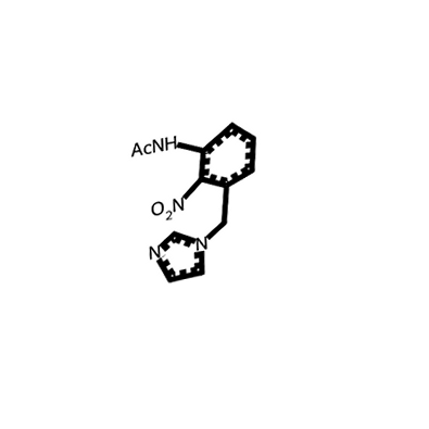 CC(=O)Nc1cccc(Cn2ccnc2)c1[N+](=O)[O-]